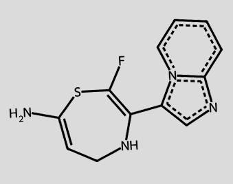 NC1=CCNC(c2cnc3ccccn23)=C(F)S1